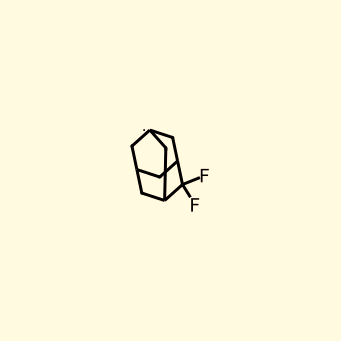 FC1(F)C2C[C]3CC(C2)CC1C3